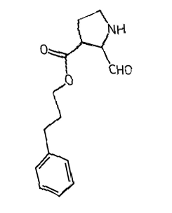 O=CC1NCCC1C(=O)OCCCc1ccccc1